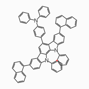 c1ccc(N(c2ccccc2)c2ccc(-c3cc4c5cc(-c6cccc7ccccc67)ccc5n(-c5ccccc5)c4c4c3c3cc(-c5cccc6ccccc56)ccc3n4-c3ccccc3)cc2)cc1